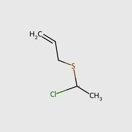 C=CCS[C](C)Cl